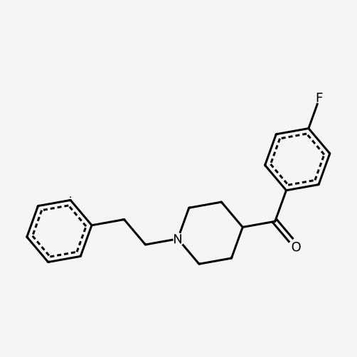 O=C(c1ccc(F)cc1)C1CCN(CCc2[c]cccc2)CC1